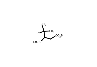 CCOC(=O)CC(C(=O)OCC)C(C)(C)CC